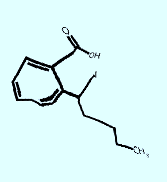 CCCCC(I)c1ccccc1C(=O)O